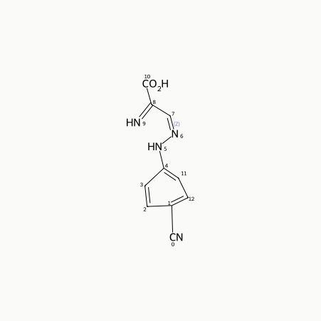 N#Cc1ccc(N/N=C\C(=N)C(=O)O)cc1